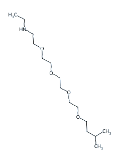 CCNCCOCCOCCOCCOCCC(C)C